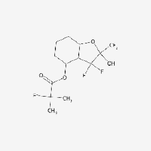 CCC(C)(C)C(=O)OC1CCCC2OC(O)(C(F)(F)F)C(F)(F)C12